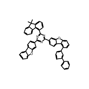 CC1(C)c2ccccc2-c2c(-c3nc(-c4ccc5c(c4)oc4ccccc45)nc(-c4ccc5c(c4)oc4cccc(-c6cccc(-c7ccccc7)c6)c45)n3)cccc21